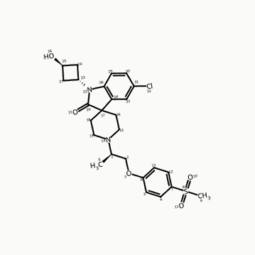 C[C@H](COc1ccc(S(C)(=O)=O)cc1)N1CCC2(CC1)C(=O)N([C@H]1C[C@H](O)C1)c1ccc(Cl)cc12